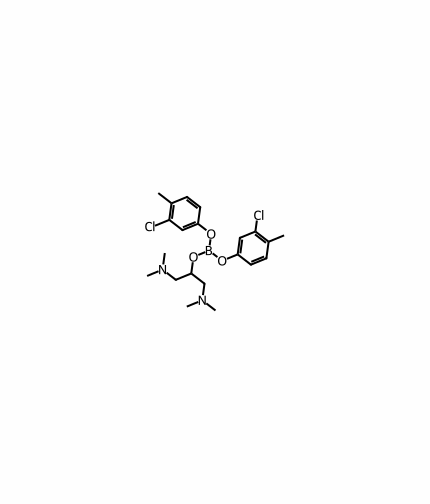 Cc1ccc(OB(Oc2ccc(C)c(Cl)c2)OC(CN(C)C)CN(C)C)cc1Cl